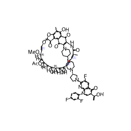 C=C(O)c1cn(-c2ccc(F)cc2F)c2nc(N3CCC(N4CCN(C5CCN(C6=C7NC(=O)/C(C)=C\C=C\[C@H](C)[C@H](O)[C@@H](C)[C@@H](O)[C@@H](C)[C@H](OC(C)=O)[C@H](C)[C@@H](OC)/C=C/O[C@@]8(C)Oc9c(C)c(O)c(c(c9C8=O)C6=O)C7=O)CC5)CC4)C3)c(F)cc2c1=O